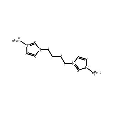 CCCCCn1cc[n+](CCCCn2cc[n+](CCCCC)c2)c1